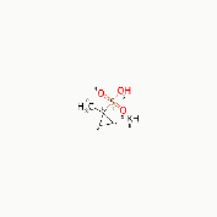 CC1(S(=O)(=O)O)CC1.[KH]